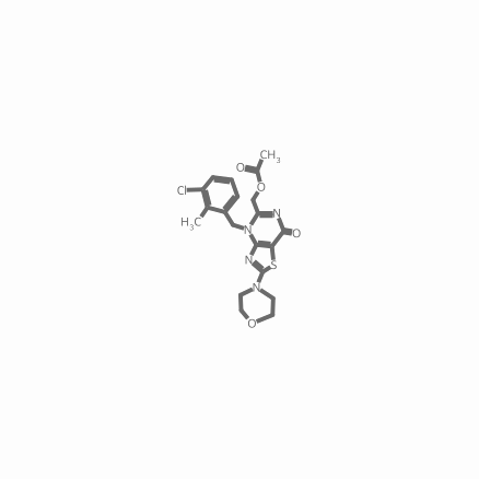 CC(=O)OCc1nc(=O)c2sc(N3CCOCC3)nc2n1Cc1cccc(Cl)c1C